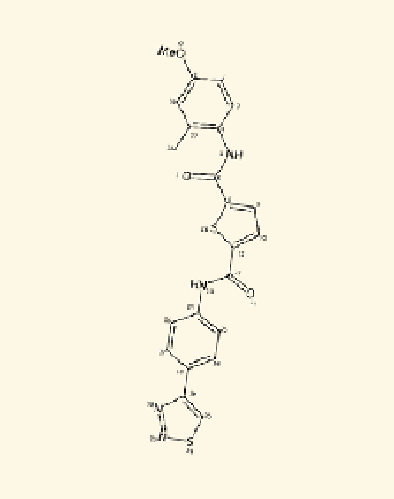 COc1ccc(NC(=O)c2ccc(C(=O)Nc3ccc(-c4csnn4)cc3)s2)c(C)c1